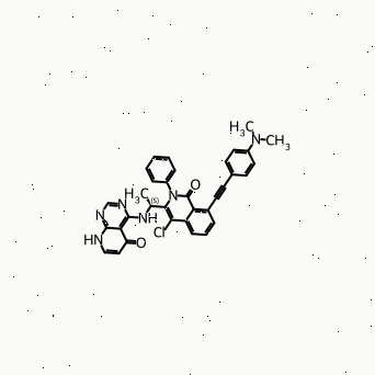 C[C@H](Nc1ncnc2[nH]ccc(=O)c12)c1c(Cl)c2cccc(C#Cc3ccc(N(C)C)cc3)c2c(=O)n1-c1ccccc1